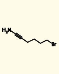 NC#CCCCCBr